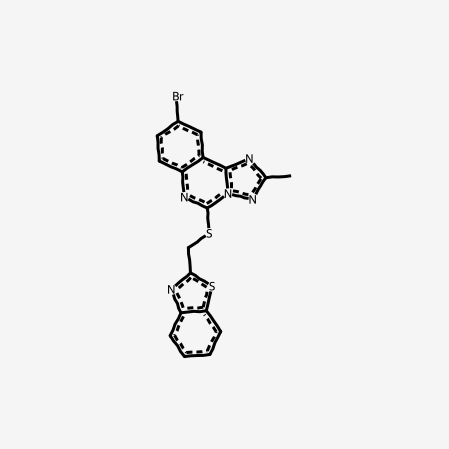 Cc1nc2c3cc(Br)ccc3nc(SCc3nc4ccccc4s3)n2n1